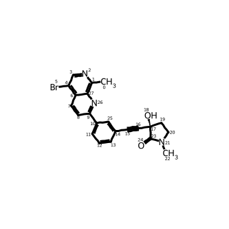 Cc1ncc(Br)c2ccc(-c3cccc(C#C[C@]4(O)CCN(C)C4=O)c3)nc12